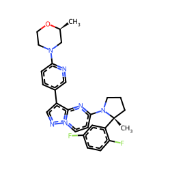 C[C@H]1CN(c2ccc(-c3cnn4ccc(N5CCC[C@]5(C)c5cc(F)ccc5F)nc34)cn2)CCO1